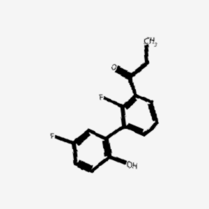 CCC(=O)c1cccc(-c2cc(F)ccc2O)c1F